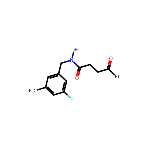 CCC(=O)CCC(=O)N(Cc1cc(F)cc(C(F)(F)F)c1)C(C)C